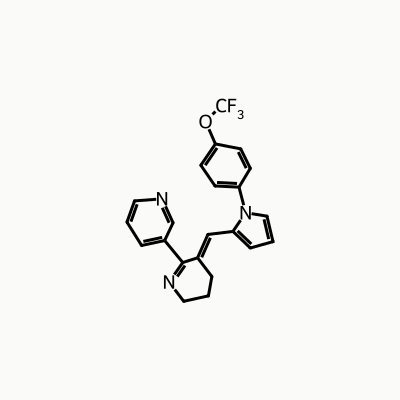 FC(F)(F)Oc1ccc(-n2cccc2C=C2CCCN=C2c2cccnc2)cc1